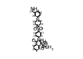 CN(c1ccccc1C(=O)Nc1ccc(S(=O)(=O)N2CCN(c3cccc(CN)c3)CC2)cc1)S(C)(=O)=O